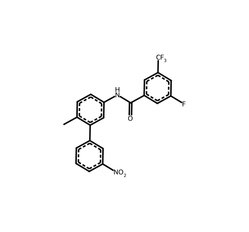 Cc1ccc(NC(=O)c2cc(F)cc(C(F)(F)F)c2)cc1-c1cccc([N+](=O)[O-])c1